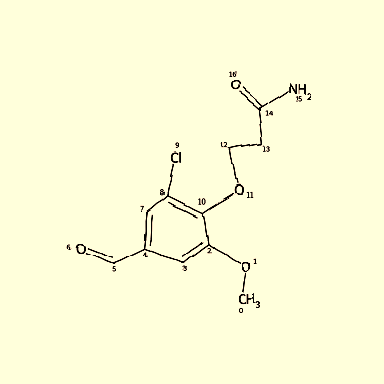 COc1cc(C=O)cc(Cl)c1OCCC(N)=O